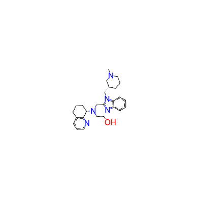 CN1CCC[C@H](Cn2c(CN(CCO)[C@H]3CCCc4cccnc43)nc3ccccc32)C1